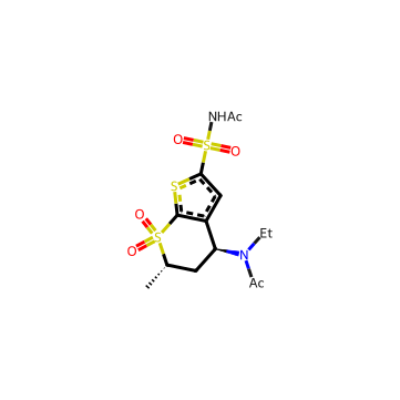 CCN(C(C)=O)[C@H]1C[C@H](C)S(=O)(=O)c2sc(S(=O)(=O)NC(C)=O)cc21